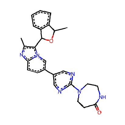 Cc1nc2ccc(-c3cnc(N4CCNC(=O)CC4)nc3)cn2c1C1OC(C)c2ccccc21